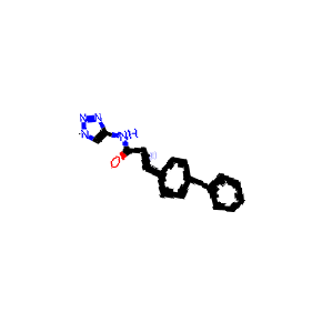 O=C(/C=C/c1ccc(-c2ccccc2)cc1)NC1=C[N]N=N1